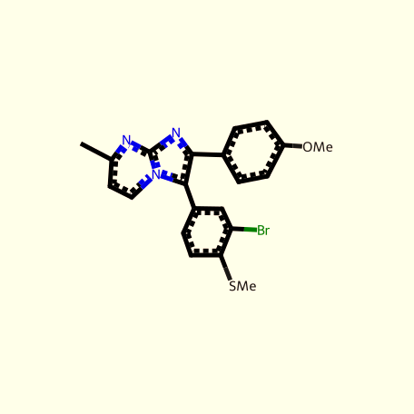 COc1ccc(-c2nc3nc(C)ccn3c2-c2ccc(SC)c(Br)c2)cc1